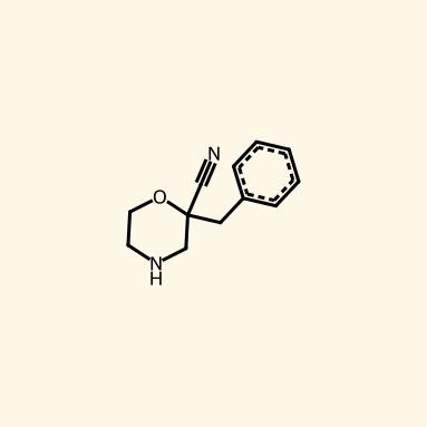 N#CC1(Cc2ccccc2)CNCCO1